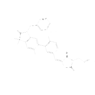 C=CCN1C(=O)S/C(=C/c2ccc(OC(F)(F)F)c(-c3cc4c(cc3C)C(C)(C)C(=O)N4Cc3ccccc3)c2)C1=O